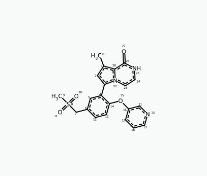 Cc1cc(-c2cc(CS(C)(=O)=O)ccc2Oc2cccnc2)n2cc[nH]c(=O)c12